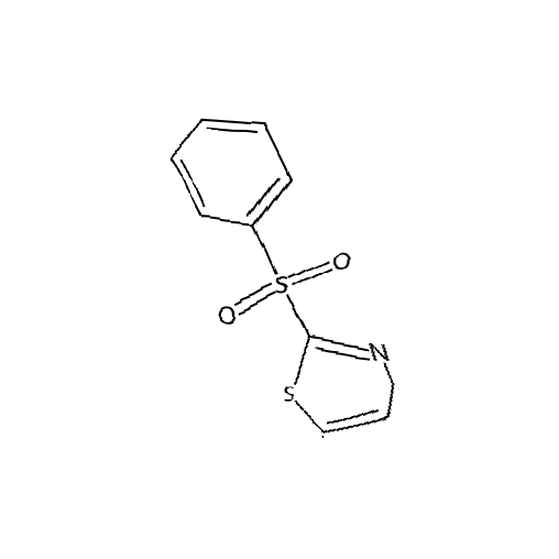 O=S(=O)(c1ccccc1)c1nc[c]s1